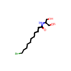 O=C(CCCCCCCCCCBr)NC(CO)CO